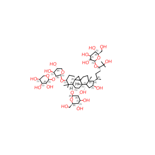 C[C@H](CC[C@H](O[C@@H]1O[C@H](CO)[C@@H](O)[C@H](O)[C@H]1O)C(C)(C)O)[C@H]1[C@@H](O)C[C@@]2(C)[C@@H]3C[C@H](O[C@@H]4O[C@H](CO)[C@@H](O)[C@H](O)[C@H]4O)[C@H]4C(C)(C)[C@@H](O[C@@H]5OC[C@@H](O)[C@H](O)[C@H]5O[C@@H]5OC[C@H](O)[C@H](O)[C@H]5O)CC[C@@]45C[C@@]35CC[C@]12C